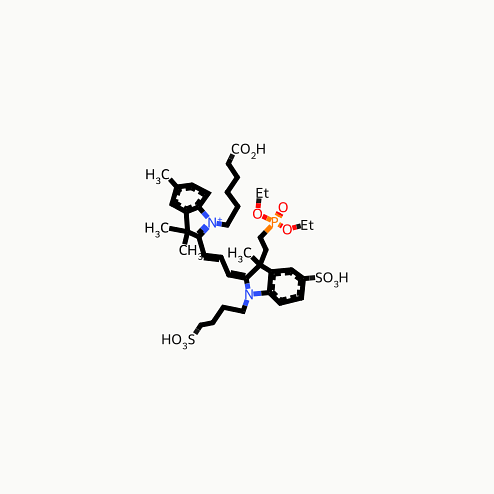 CCOP(=O)(CCC1(C)C(=CC=CC2=[N+](CCCCCC(=O)O)c3ccc(C)cc3C2(C)C)N(CCCCS(=O)(=O)O)c2ccc(S(=O)(=O)O)cc21)OCC